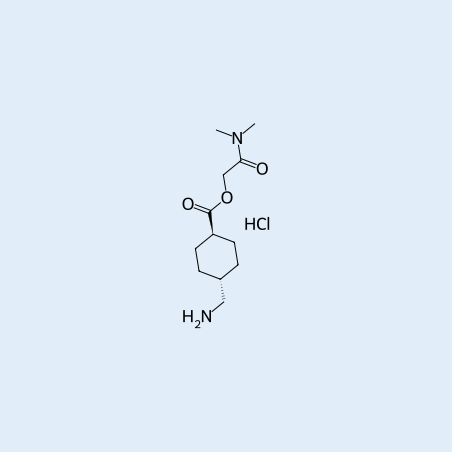 CN(C)C(=O)COC(=O)[C@H]1CC[C@H](CN)CC1.Cl